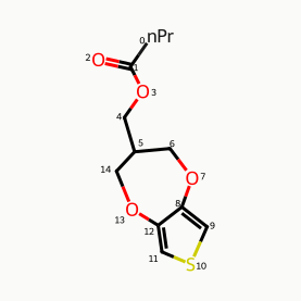 CCCC(=O)OCC1COc2cscc2OC1